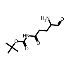 CC(C)(C)OC(=O)NC(=O)CCC(N)[C]=O